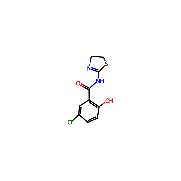 O=C(NC1=NCCS1)c1cc(Cl)ccc1O